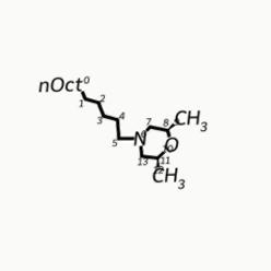 CCCCCCCCCCCCCN1C[C@@H](C)O[C@@H](C)C1